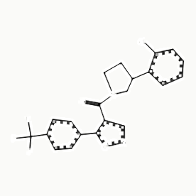 O=C(c1cnoc1-c1ccc(C(F)(F)F)cc1)N1CCC(c2ccccc2Cl)C1